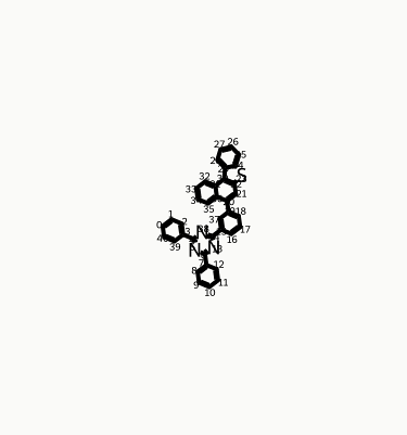 c1ccc(-c2nc(-c3ccccc3)nc(-c3cccc(-c4cc5sc6ccccc6c5c5ccccc45)c3)n2)cc1